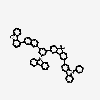 CC1(C)c2ccc(-c3cc(-c4ccc5ccc(-c6cccc7oc8ccccc8c67)cc5c4)cc(-n4c5ccccc5c5ccccc54)c3)cc2-c2cc(-c3ccc4c5ccccc5n(-c5ccccc5)c4c3)ccc21